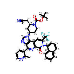 Cc1ncccc1-c1nc2c(=O)n(-c3cccc4ccccc34)c(C(F)(F)F)cc2c2c1ncn2C1CCN(C(=O)OC(C)(C)C)[C@H](CC#N)C1